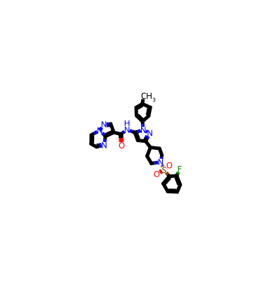 Cc1ccc(-n2nc(C3CCN(S(=O)(=O)c4ccccc4F)CC3)cc2NC(=O)c2cnn3cccnc23)cc1